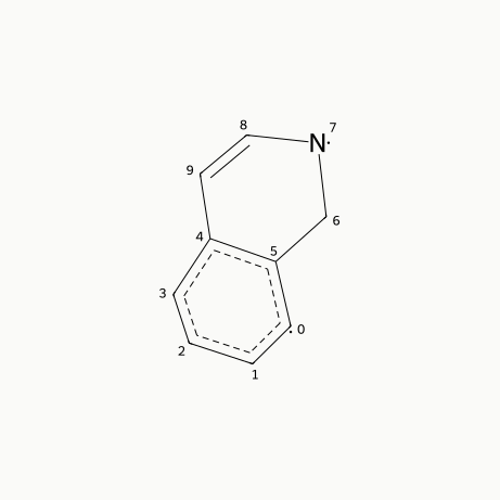 [c]1cccc2c1C[N]C=C2